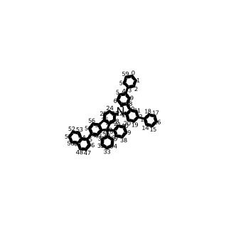 c1ccc(-c2ccc3c(c2)c2cc(-c4ccccc4)ccc2n3-c2ccc3c(c2)C(c2ccccc2)(c2ccccc2)c2cc(-c4cccc5ccccc45)ccc2-3)cc1